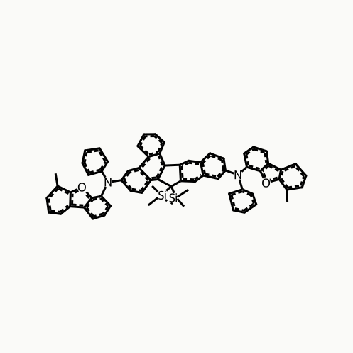 Cc1cccc2c1oc1c(N(c3ccccc3)c3ccc4cc5c(cc4c3)C([Si](C)(C)C)([Si](C)(C)C)c3c-5c4ccccc4c4cc(N(c5ccccc5)c5cccc6c5oc5c(C)cccc56)ccc34)cccc12